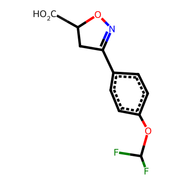 O=C(O)C1CC(c2ccc(OC(F)F)cc2)=NO1